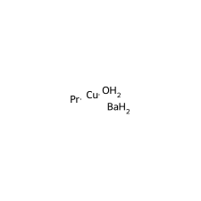 O.[BaH2].[Cu].[Pr]